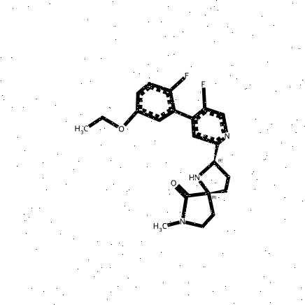 CCOc1ccc(F)c(-c2cc([C@H]3CC[C@]4(CCN(C)C4=O)N3)ncc2F)c1